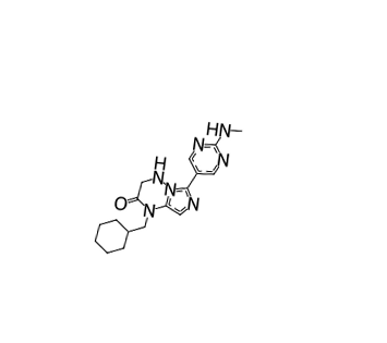 CNc1ncc(-c2ncc3n2NCC(=O)N3CC2CCCCC2)cn1